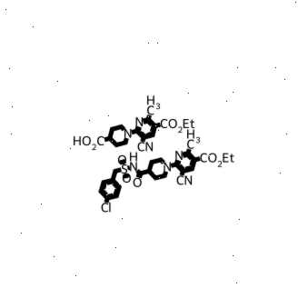 CCOC(=O)c1cc(C#N)c(N2CCC(C(=O)NS(=O)(=O)Cc3ccc(Cl)cc3)CC2)nc1C.CCOC(=O)c1cc(C#N)c(N2CCC(C(=O)O)CC2)nc1C